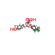 Cc1cc(SCC(COc2ccc(C(F)(F)F)cc2)OCC(=O)O)ccc1O